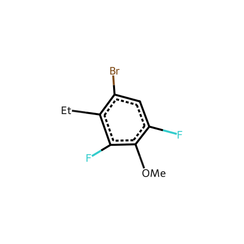 CCc1c(Br)cc(F)c(OC)c1F